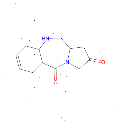 O=C1CC2CNC3CC=CCC3C(=O)N2C1